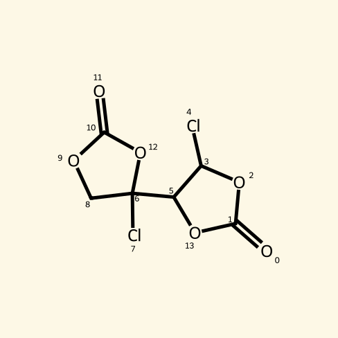 O=C1OC(Cl)C(C2(Cl)COC(=O)O2)O1